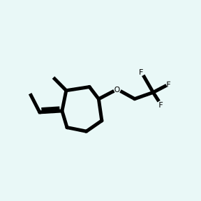 C/C=C1/CCCC(OCC(F)(F)F)CC1C